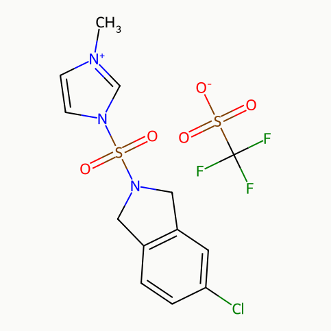 C[n+]1ccn(S(=O)(=O)N2Cc3ccc(Cl)cc3C2)c1.O=S(=O)([O-])C(F)(F)F